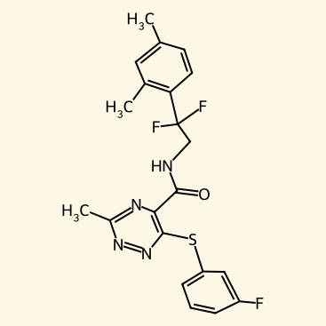 Cc1ccc(C(F)(F)CNC(=O)c2nc(C)nnc2Sc2cccc(F)c2)c(C)c1